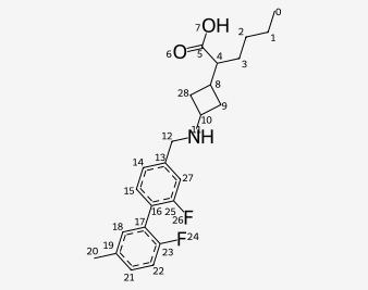 CCCCC(C(=O)O)C1CC(NCc2ccc(-c3cc(C)ccc3F)c(F)c2)C1